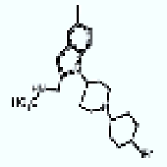 Cc1ccc2c(c1)cc(CNC(=O)O)n2C1CCN(C2CCC(C(C)C)CC2)CC1